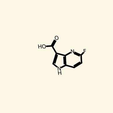 O=C(O)c1c[nH]c2ccc(F)nc12